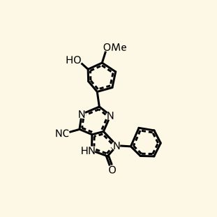 COc1ccc(-c2nc(C#N)c3[nH]c(=O)n(-c4ccccc4)c3n2)cc1O